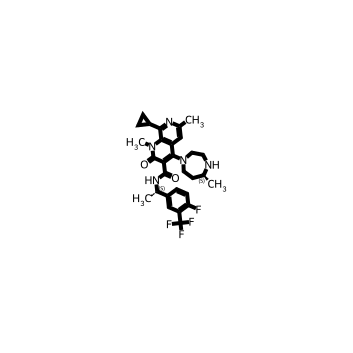 Cc1cc2c(N3CCN[C@@H](C)CC3)c(C(=O)N[C@@H](C)c3ccc(F)c(C(F)(F)F)c3)c(=O)n(C)c2c(C2CC2)n1